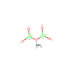 [AlH3].[O-][Cl+2]([O-])O[Cl+2]([O-])[O-]